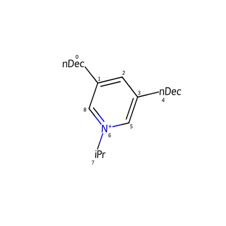 CCCCCCCCCCc1cc(CCCCCCCCCC)c[n+](C(C)C)c1